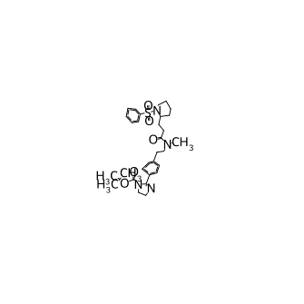 CN(CCc1ccc(C2=NCCN2C(=O)OC(C)(C)C)cc1)C(=O)CCC1CCCCN1S(=O)(=O)c1ccccc1